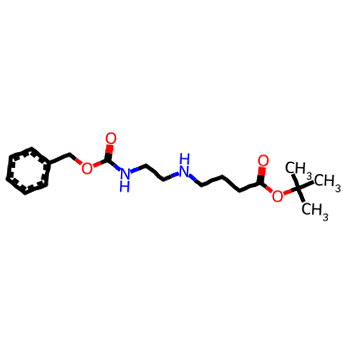 CC(C)(C)OC(=O)CCCNCCNC(=O)OCc1ccccc1